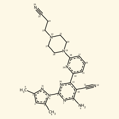 Cc1cc(C)n(-c2nc(N)c(C#N)c(-c3cccc(N4CCN(CCC#N)CC4)n3)n2)n1